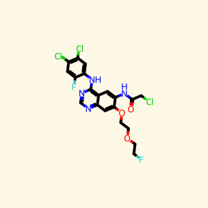 O=C(CCl)Nc1cc2c(Nc3cc(Cl)c(Cl)cc3F)ncnc2cc1OCCOCCF